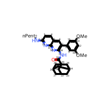 CCCCCNc1ccc2cc(-c3cc(OC)cc(OC)c3)c(NC(=O)C34CC5CC(CC(C5)C3)C4)nc2n1